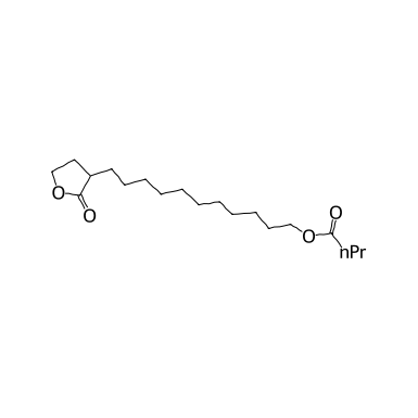 CCCC(=O)OCCCCCCCCCCCC1CCOC1=O